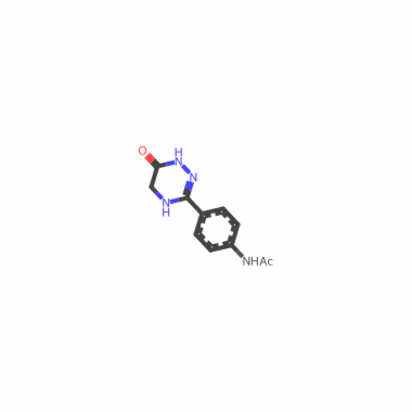 CC(=O)Nc1ccc(C2=NNC(=O)CN2)cc1